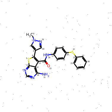 Cn1cc(-c2sc3ncnc(N)c3c2C(=O)Nc2ccc(Sc3ccccc3)cc2)cn1